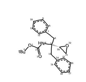 CC(C)(C)OC(=O)NC(Cc1ccccc1)(Cc1ccccc1)[C@H]1CO1